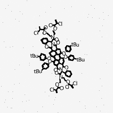 C=C(Cl)C(=O)OCCN(CCOC(=O)C(=C)Cl)C(=O)C(c1ccccc1)N1C(=O)c2cc(Oc3ccc(C(C)(C)C)cc3)c3c4c(Oc5ccc(C(C)(C)C)cc5)cc5c6c(cc(Oc7ccc(C(C)(C)C)cc7)c(c7c(Oc8ccc(C(C)(C)C)cc8)cc(c2c37)C1=O)c64)C(=O)N(C(C(=O)N(CCOC(=O)C(=C)Cl)CCOC(=O)C(C)Cl)c1ccccc1)C5=O